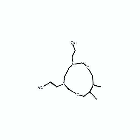 CC1CCCN(CCO)CCN(CCO)CCCC1C